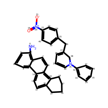 Nc1cccc2c1ccc1c3c(ccc12)CCCC3.O=[N+]([O-])c1ccc(CC2=CC=CN(c3ccccc3)C2)cc1